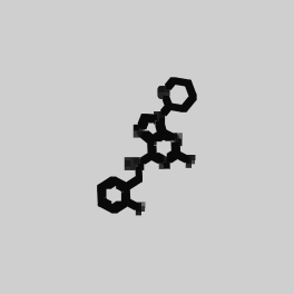 Fc1nc(NCc2ccccc2F)c2ncn(C3CCCCO3)c2n1